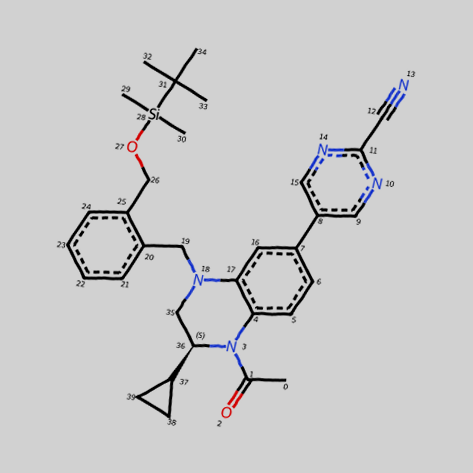 CC(=O)N1c2ccc(-c3cnc(C#N)nc3)cc2N(Cc2ccccc2CO[Si](C)(C)C(C)(C)C)C[C@@H]1C1CC1